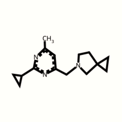 Cc1cc(CN2CCC3(CC3)C2)nc(C2CC2)n1